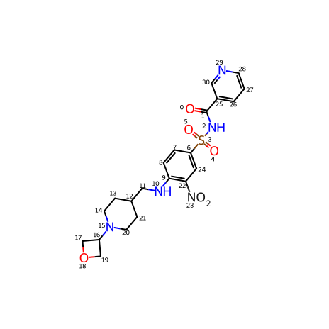 O=C(NS(=O)(=O)c1ccc(NCC2CCN(C3COC3)CC2)c([N+](=O)[O-])c1)c1cccnc1